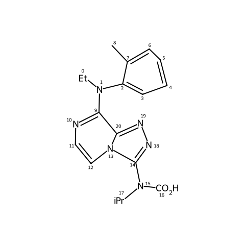 CCN(c1ccccc1C)c1nccn2c(N(C(=O)O)C(C)C)nnc12